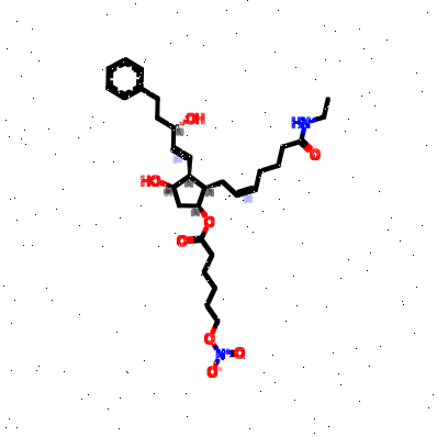 CCNC(=O)CCC/C=C\C[C@@H]1[C@H](/C=C/[C@@H](O)CCc2ccccc2)[C@H](O)C[C@@H]1OC(=O)CCCCCO[N+](=O)[O-]